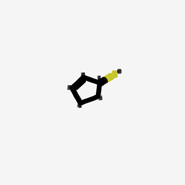 S=C1C=CCC1